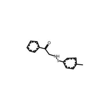 Cc1ccc(SNCC(=O)c2ccccc2)cc1